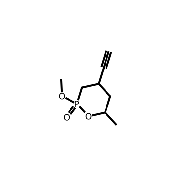 C#CC1CC(C)OP(=O)(OC)C1